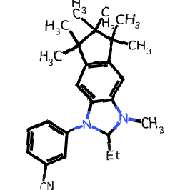 CCC1N(C)c2cc3c(cc2N1c1cccc(C#N)c1)C(C)(C)C(C)(C)C3(C)C